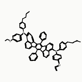 CCCCc1ccc(N(c2ccc(OCC)cc2)c2ccc3c4c(-c5ccccc5)c5c6ccc(N(c7ccc(CCCC)cc7)c7ccc(OCC)cc7)c7cccc(c5c(-c5ccccc5)c4c4cccc2c43)c76)cc1